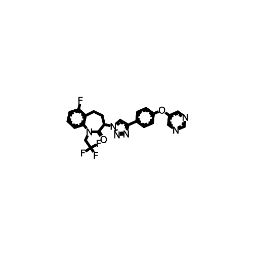 O=C1C(n2cc(-c3ccc(Oc4cncnc4)cc3)nn2)CCc2c(F)cccc2N1CC(F)(F)F